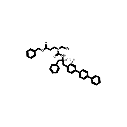 CC(C)CN(CCC(=O)OCc1ccccc1)C(=O)N[C@@](Cc1ccccc1)(Cc1ccc(-c2ccc(-c3ccccc3)cc2)cc1)C(=O)O